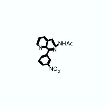 CC(=O)Nc1cc2cccnc2c(-c2cccc([N+](=O)[O-])c2)n1